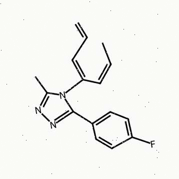 C=C/C=C(\C=C/C)n1c(C)nnc1-c1ccc(F)cc1